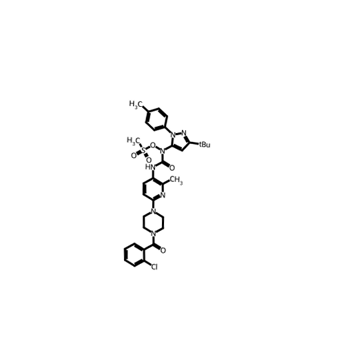 Cc1ccc(-n2nc(C(C)(C)C)cc2N(OS(C)(=O)=O)C(=O)Nc2ccc(N3CCN(C(=O)c4ccccc4Cl)CC3)nc2C)cc1